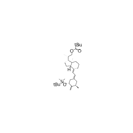 C=C1[C@H](C)C/C(=C/C=C2\CCC[C@]3(C)[C@@H]([C@H](C)COC(=O)C(C)(C)C)CC[C@@H]23)C[C@H]1O[Si](C)(C)C(C)(C)C